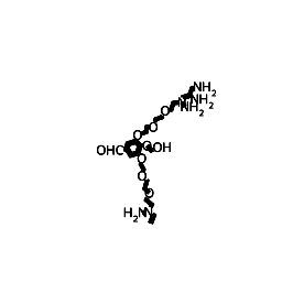 C=CN(N)CCOCCOCCOc1cc(C=O)cc(OCCOCCOCCN(N)/C=C(\N)CN)c1OCO